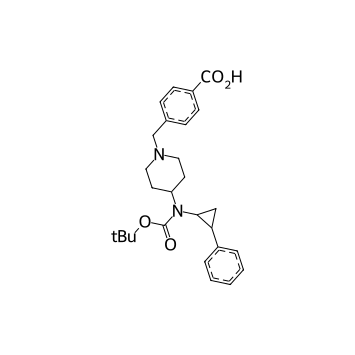 CC(C)(C)OC(=O)N(C1CCN(Cc2ccc(C(=O)O)cc2)CC1)C1CC1c1ccccc1